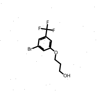 OCCCOc1cc(Br)cc(C(F)(F)F)c1